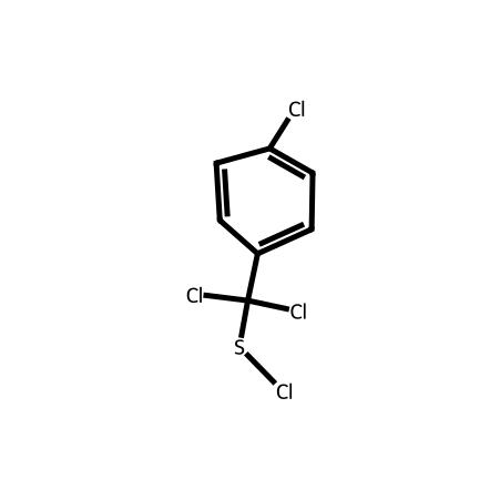 ClSC(Cl)(Cl)c1ccc(Cl)cc1